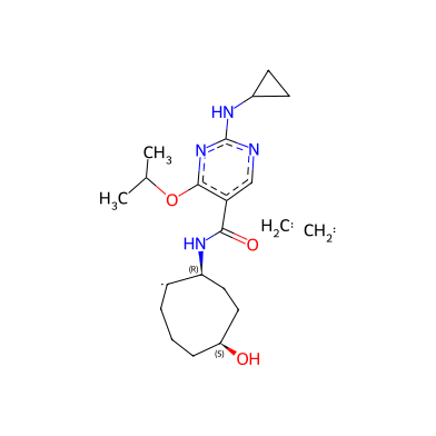 CC(C)Oc1nc(NC2CC2)ncc1C(=O)N[C@@H]1[CH]CCC[C@H](O)CC1.[CH2].[CH2]